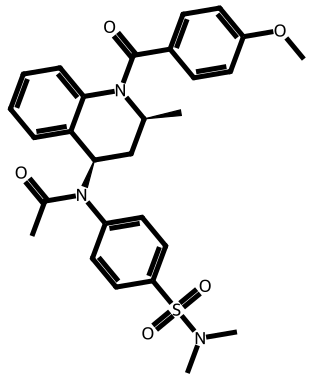 COc1ccc(C(=O)N2c3ccccc3[C@H](N(C(C)=O)c3ccc(S(=O)(=O)N(C)C)cc3)C[C@@H]2C)cc1